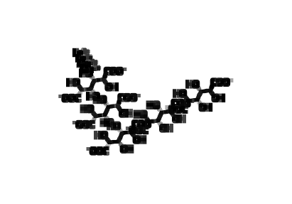 O=C([O-])[C@@H](O)[C@@H](O)[C@H](O)[C@@H](O)C(=O)[O-].O=C([O-])[C@@H](O)[C@@H](O)[C@H](O)[C@@H](O)C(=O)[O-].O=C([O-])[C@@H](O)[C@@H](O)[C@H](O)[C@@H](O)C(=O)[O-].O=C([O-])[C@@H](O)[C@@H](O)[C@H](O)[C@@H](O)C(=O)[O-].O=C([O-])[C@@H](O)[C@@H](O)[C@H](O)[C@@H](O)C(=O)[O-].[Fe+3].[Fe+3].[Mn+2].[Mn+2]